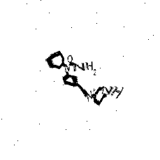 NC(=O)N(c1cccc(C#[N+]C2CCCNC2)c1)C1CCCCCC1